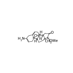 CO[C@@H]1C(=O)C[C@H]2[C@@H]3CC=C4CC(N)=CC[C@]4(C)[C@H]3CC[C@]12C